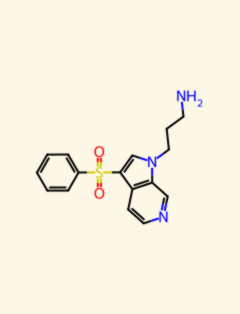 NCCCn1cc(S(=O)(=O)c2ccccc2)c2ccncc21